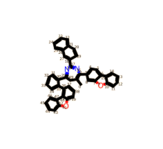 CC1=C(c2ccc3c(c2)oc2ccccc23)N=C(c2ccc3ccccc3c2)N=C(c2ccccc2-c2cccc3oc4ccccc4c23)C1